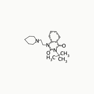 CC(C)(C)n1c(=O)c2ccccc2n(CCN2CCCCC2)c1=O